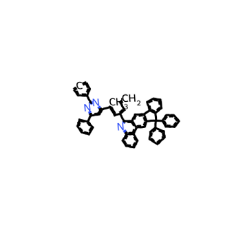 C=C/C=C(\C=C(/C)c1cc(-c2ccccc2)nc(-c2ccccc2)n1)c1nc2ccccc2c2cc3c(cc12)-c1ccccc1C3(c1ccccc1)c1ccccc1